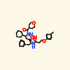 Cc1ccc(OCCC(=O)NC(Cc2ccccc2)[C@@H](O)CC(NC(=O)C2CCOCC2)C2CCCCC2)cc1